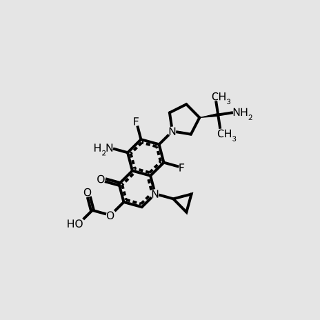 CC(C)(N)[C@@H]1CCN(c2c(F)c(N)c3c(=O)c(OC(=O)O)cn(C4CC4)c3c2F)C1